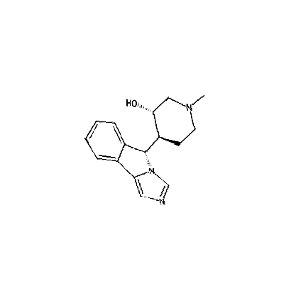 CN1CC[C@@H]([C@H]2c3ccccc3-c3cncn32)[C@H](O)C1